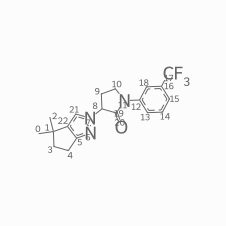 CC1(C)CCc2nn(C3CCN(c4cccc(C(F)(F)F)c4)C3=O)cc21